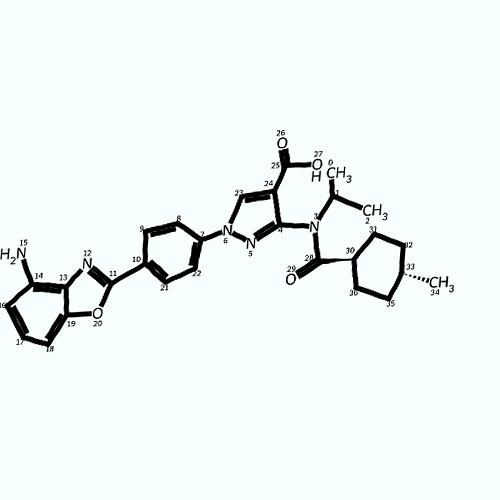 CC(C)N(c1nn(-c2ccc(-c3nc4c(N)cccc4o3)cc2)cc1C(=O)O)C(=O)[C@H]1CC[C@H](C)CC1